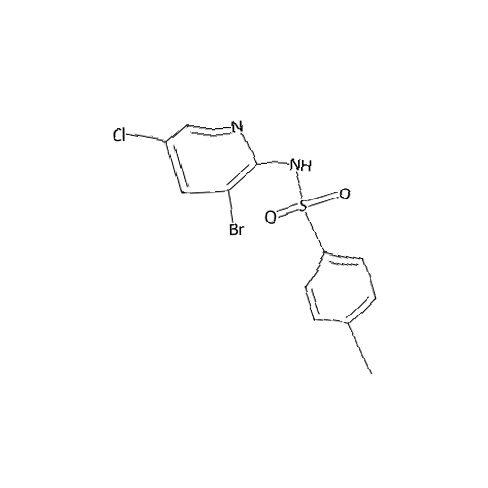 Cc1ccc(S(=O)(=O)Nc2ncc(Cl)cc2Br)cc1